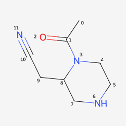 CC(=O)N1CCNCC1CC#N